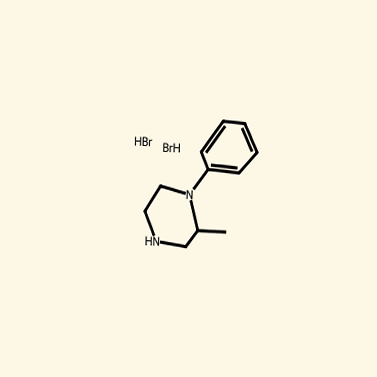 Br.Br.CC1CNCCN1c1ccccc1